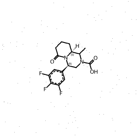 CC1[C@@H]2CCCC(=O)N2[C@H](c2cc(F)c(F)c(F)c2)CN1C(=O)O